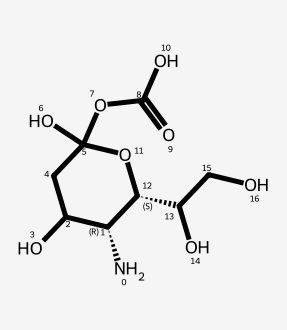 N[C@@H]1C(O)CC(O)(OC(=O)O)O[C@@H]1C(O)CO